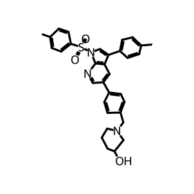 Cc1ccc(-c2cn(S(=O)(=O)c3ccc(C)cc3)c3ncc(-c4ccc(CN5CCCC(O)C5)cc4)cc23)cc1